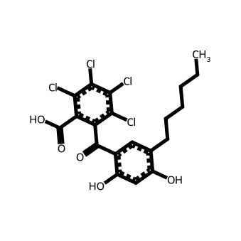 CCCCCCc1cc(C(=O)c2c(Cl)c(Cl)c(Cl)c(Cl)c2C(=O)O)c(O)cc1O